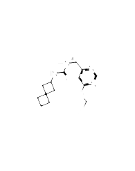 C[C@@H](NC(=O)NC1CC2(CCC2)C1)c1cc(OCC(F)(F)F)ncn1